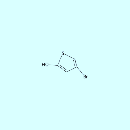 Oc1cc(Br)cs1